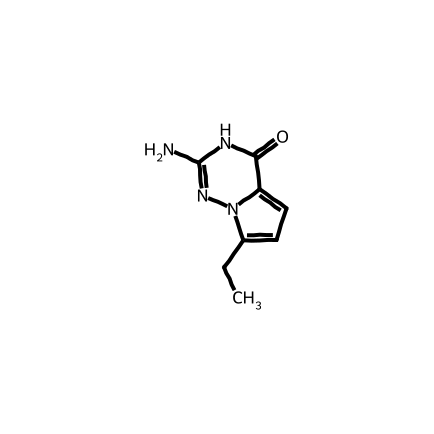 CCc1ccc2c(=O)[nH]c(N)nn12